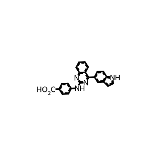 O=C(O)c1ccc(Nc2nc(-c3ccc4[nH]ccc4c3)c3ccccc3n2)cc1